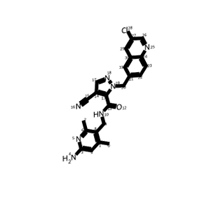 Cc1cc(N)nc(C)c1CNC(=O)c1c(C#N)cnn1Cc1ccc2ncc(Cl)cc2c1